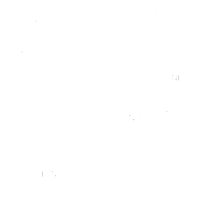 CCC(N)(CC)c1ccc(N/C(=C2\C(=O)Nc3cc(F)ccc32)c2ccc(CCC(=O)O)cc2)cc1